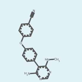 CNc1ncnc(N)c1-c1ccc(Oc2ccc(C#N)cc2)cc1